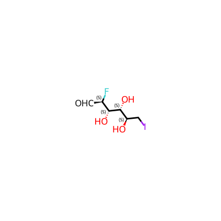 O=C[C@@H](F)[C@@H](O)[C@H](O)[C@H](O)CI